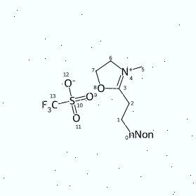 CCCCCCCCCCCC1=[N+](C)CCO1.O=S(=O)([O-])C(F)(F)F